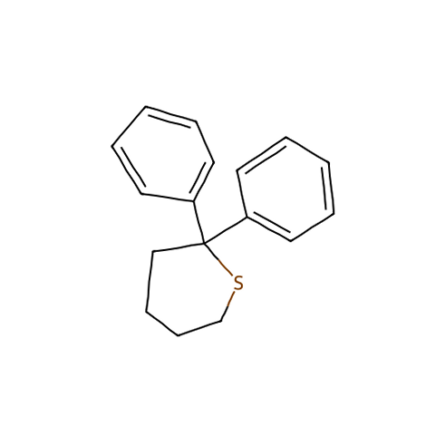 c1ccc(C2(c3ccccc3)CCCCS2)cc1